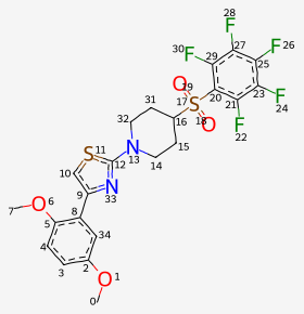 COc1ccc(OC)c(-c2csc(N3CCC(S(=O)(=O)c4c(F)c(F)c(F)c(F)c4F)CC3)n2)c1